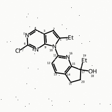 CCc1cc2cnc(Cl)nc2n1-c1ccc2c(n1)C(O)(CC)CC2